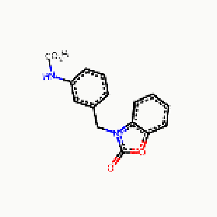 O=C(O)Nc1cccc(Cn2c(=O)oc3ccccc32)c1